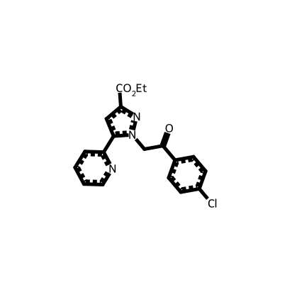 CCOC(=O)c1cc(-c2ccccn2)n(CC(=O)c2ccc(Cl)cc2)n1